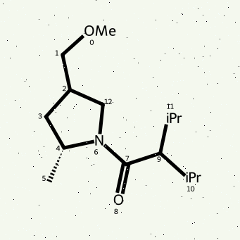 COCC1C[C@@H](C)N(C(=O)C(C(C)C)C(C)C)C1